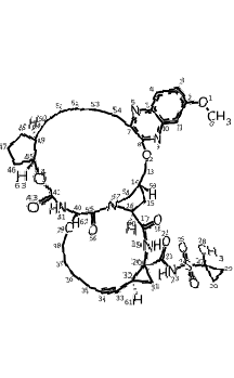 COc1ccc2nc3c(nc2c1)OC[C@@H]1C[C@H]2C(=O)N[C@]4(C(=O)NS(=O)(=O)C5(C)CC5)C[C@H]4/C=C\CCCCC[C@H](NC(=O)O[C@@H]4CCC[C@H]4CCCCC3)C(=O)N2C1